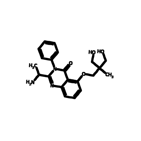 CC(N)c1nc2cccc(OCC(C)(CO)CO)c2c(=O)n1-c1ccccc1